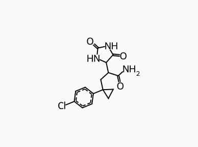 NC(=O)C(CC1(c2ccc(Cl)cc2)CC1)C1NC(=O)NC1=O